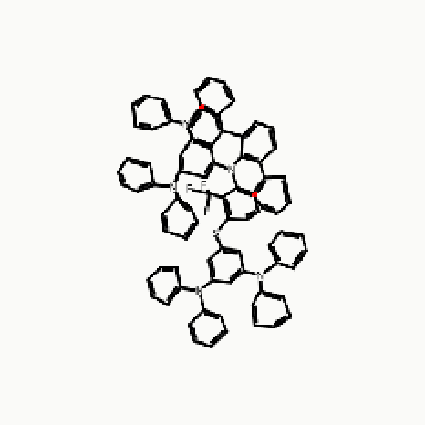 FC(F)(F)c1c(Sc2cc(N(c3ccccc3)c3ccccc3)cc(N(c3ccccc3)c3ccccc3)c2)cccc1N(c1cc(N(c2ccccc2)c2ccccc2)cc(N(c2ccccc2)c2ccccc2)c1)c1c(-c2ccccc2)cccc1-c1ccccc1